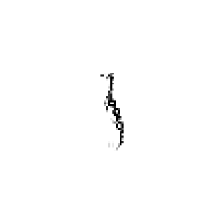 CCCCCCCCOc1ccc(-c2ccc(OC(=O)C3CCC(CCCCCC)CC3)cc2)c(F)c1F